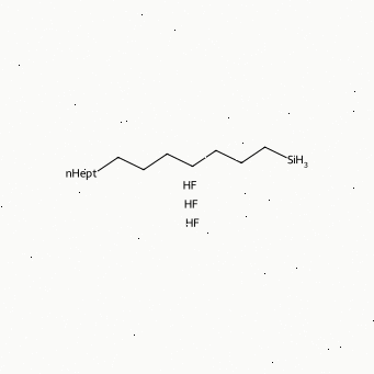 CCCCCCCCCCCCCC[SiH3].F.F.F